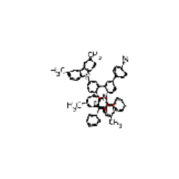 Cc1ccc2c(c1)c1cc(C)ccc1n2-c1ccc(-c2nc(-c3ccccc3)nc(-c3ccccc3)n2)c(-c2cc(-c3ccc(C#N)cc3)ccc2-n2c3ccc(C)cc3c3cc(C)ccc32)c1